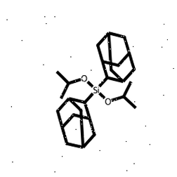 CC(C)O[Si](OC(C)C)(C1C2CC3CC(C2)CC1C3)C1C2CC3CC(C2)CC1C3